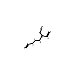 C=CCCCC(C=C)CCl